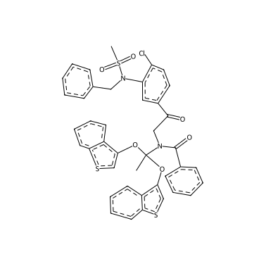 CC(Oc1csc2ccccc12)(Oc1csc2ccccc12)N(CC(=O)c1ccc(Cl)c(N(Cc2ccccc2)S(C)(=O)=O)c1)C(=O)c1ccccc1